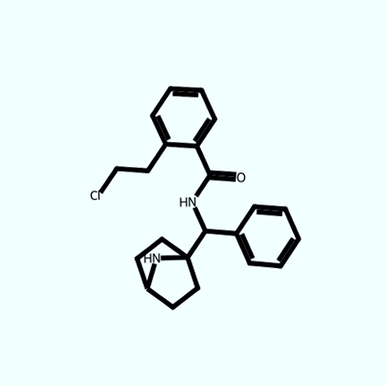 O=C(NC(c1ccccc1)C12CCC(CC1)N2)c1ccccc1CCCl